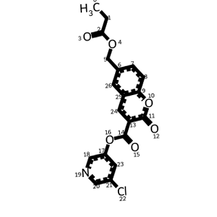 CCC(=O)OCc1ccc2oc(=O)c(C(=O)Oc3cncc(Cl)c3)cc2c1